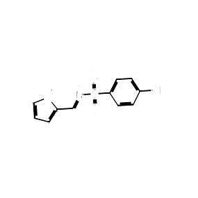 Cc1ccc(S(=O)(=O)N=Cc2cccs2)cc1